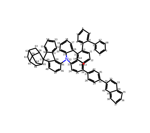 c1ccc(-c2ccccc2-c2ccccc2-c2ccccc2N(c2ccc(-c3ccc(-c4ccc5ccccc5c4)cc3)cc2)c2cccc3c2-c2ccccc2C32C3CC4CC(C3)CC2C4)cc1